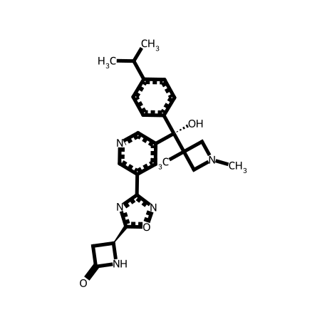 CC(C)c1ccc([C@](O)(c2cncc(-c3noc([C@@H]4CC(=O)N4)n3)c2)C2(C)CN(C)C2)cc1